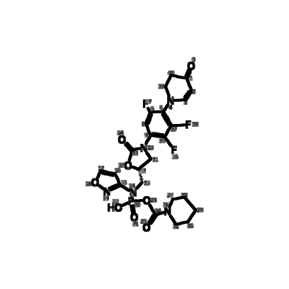 O=C1C=CN(c2c(F)cc(N3C[C@H](CN(c4ccon4)P(=O)(O)OC(=O)N4CCCCC4)OC3=O)c(F)c2F)CC1